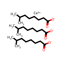 CC(C)CCCCCC(=O)[O-].CC(C)CCCCCC(=O)[O-].CC(C)CCCCCC(=O)[O-].[Ce+3]